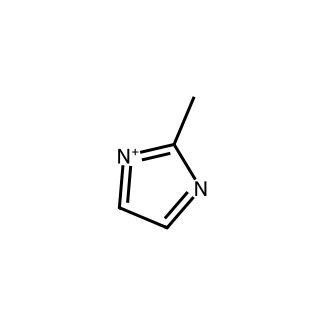 CC1=[N+]=CC=N1